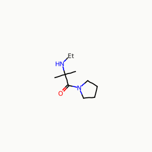 CCNC(C)(C)C(=O)N1CCCC1